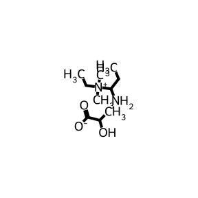 CC(O)C(=O)[O-].CCC(N)[N+](C)(C)CC